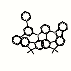 CC1(C)c2ccccc2-c2c(N(c3cc(-c4ccccc4)cc(-c4ccccc4)c3)c3cccc4c3-c3cccc5c3-c3c(ccc6c7ccccc7n-4c36)C5(C)C)cccc21